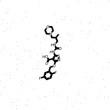 CC(CNC(=O)Nc1snc(OCc2cc(F)ccc2F)c1C(=O)O)CN1CCOCC1